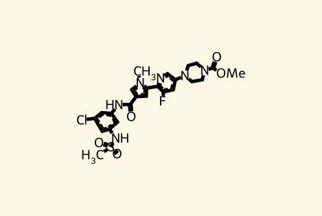 COC(=O)N1CCN(c2cnc(-c3cc(C(=O)Nc4cc(Cl)cc(NS(C)(=O)=O)c4)cn3C)c(F)c2)CC1